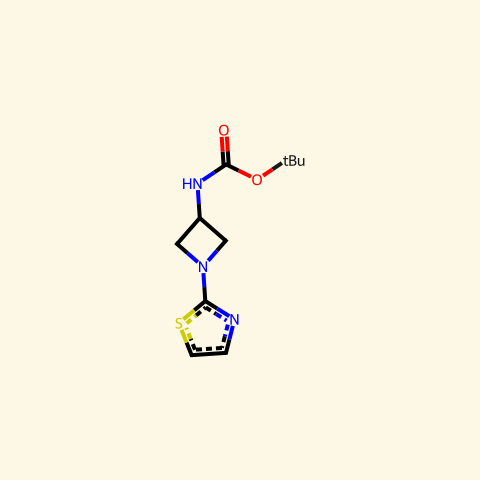 CC(C)(C)OC(=O)NC1CN(c2nccs2)C1